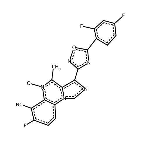 Cc1c2c(-c3noc(-c4ccc(F)cc4F)n3)ncn2c2ccc(F)c(C#N)c2[n+]1[O-]